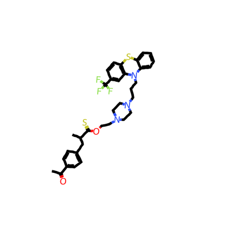 CC(=O)c1ccc(CC(C)C(=S)OCCN2CCN(CCCN3c4ccccc4Sc4ccc(C(F)(F)F)cc43)CC2)cc1